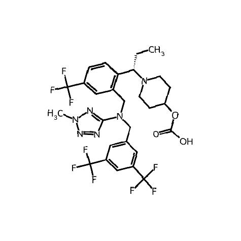 CC[C@@H](c1ccc(C(F)(F)F)cc1CN(Cc1cc(C(F)(F)F)cc(C(F)(F)F)c1)c1nnn(C)n1)N1CCC(OC(=O)O)CC1